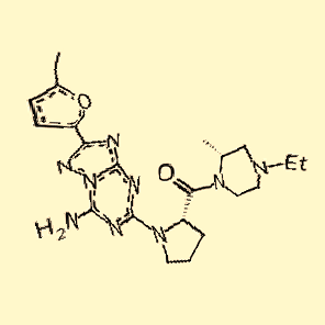 CCN1CCN(C(=O)[C@@H]2CCCN2c2nc(N)n3nc(-c4ccc(C)o4)nc3n2)[C@H](C)C1